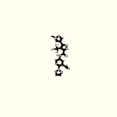 Cn1cc(-c2nsc(C(=O)Nc3cnc(-n4nccn4)c(C#N)c3)c2C(F)(F)F)cn1